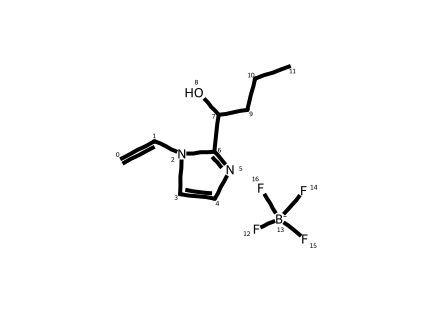 C=Cn1ccnc1C(O)CCC.F[B-](F)(F)F